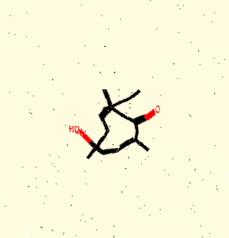 CC1=CC(C)(O)CC(C)(C)C1=O